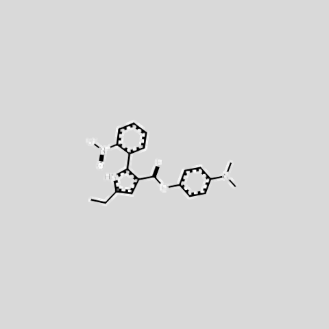 CCc1cc(C(=O)Oc2ccc(N(C)C)cc2)c(-c2ccccc2[N+](=O)[O-])[nH]1